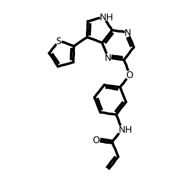 C=CC(=O)Nc1cccc(Oc2cnc3[nH]cc(-c4cccs4)c3n2)c1